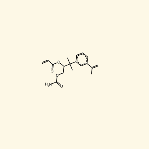 C=CC(=O)OC(COC(N)=O)C(C)(C)c1cccc(C(=C)C)c1